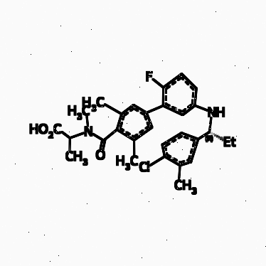 CC[C@@H](Nc1ccc(F)c(-c2cc(C)c(C(=O)N(C)C(C)C(=O)O)c(C)c2)c1)c1ccc(Cl)c(C)c1